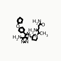 CC(C(N)CCC(N)=O)N1CCC[C@@H](n2nc(-c3ccc(Oc4ccccc4)cc3)c3c(N)ncnc32)C1